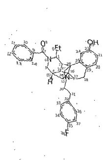 CCC1C2C3[C@@H](CN1C(=O)c1ccccc1)CC31C3Cc4ccc(O)cc4C21CCN3CCc1ccc(F)cc1